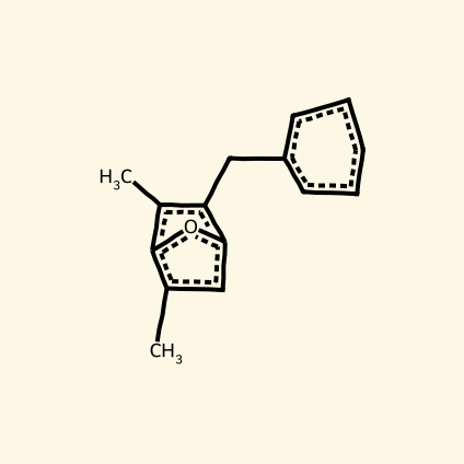 Cc1cc2oc1c(C)c2Cc1ccccc1